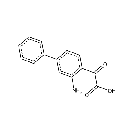 Nc1cc(-c2ccccc2)ccc1C(=O)C(=O)O